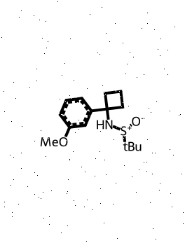 COc1cccc(C2(N[S+]([O-])C(C)(C)C)CCC2)c1